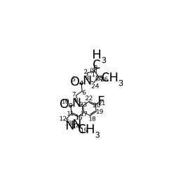 C[C@@H]1CN(C(=O)CCn2c(=O)c3cnn(C)c3c3ccc(F)cc32)C[C@H]1C